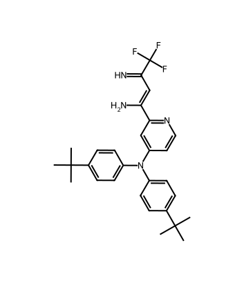 CC(C)(C)c1ccc(N(c2ccc(C(C)(C)C)cc2)c2ccnc(/C(N)=C/C(=N)C(F)(F)F)c2)cc1